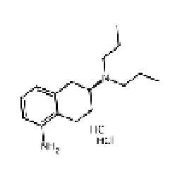 CCCN(CCC)[C@H]1CCc2c(N)cccc2C1.Cl.Cl